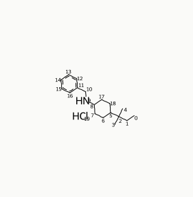 CCC(C)(C)C1CCC(NCc2ccccc2)CC1.Cl